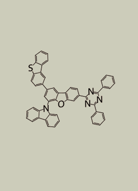 c1ccc(-c2nc(-c3ccccc3)nc(-c3ccc4c(c3)oc3c(-n5c6ccccc6c6ccccc65)cc(-c5ccc6sc7ccccc7c6c5)cc34)n2)cc1